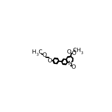 CCOCCOc1ccc(-c2ccc3c(c2)C=C(C(=O)OC)CCN3C=O)cc1